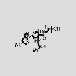 CC(C)C(O)CNc1cc(-n2ncc3cc(C#N)cnc32)ncc1C(=O)NCC(F)C(C)(C)O